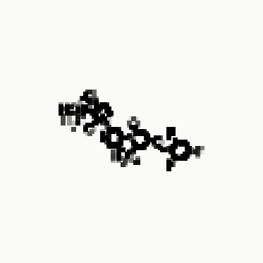 Cc1cnc(-n2ccc(Cl)c(C(C)(C)O)c2=O)cc1-n1c(C)cc(OCc2c(F)cc(F)cc2F)cc1=O